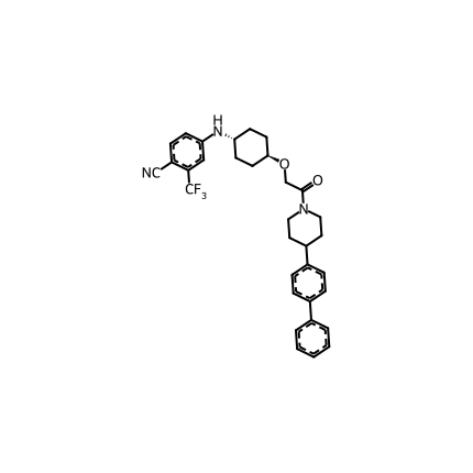 N#Cc1ccc(N[C@H]2CC[C@H](OCC(=O)N3CCC(c4ccc(-c5ccccc5)cc4)CC3)CC2)cc1C(F)(F)F